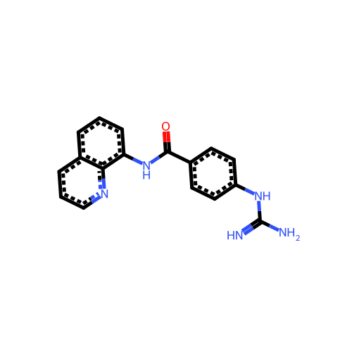 N=C(N)Nc1ccc(C(=O)Nc2cccc3cccnc23)cc1